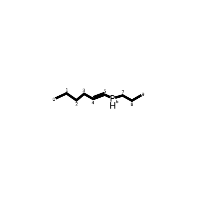 CCCCC=CPCCC